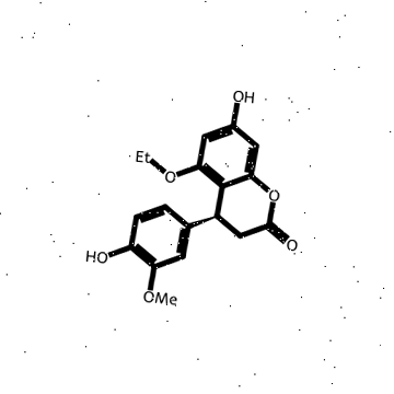 CCOc1cc(O)cc2c1[C@H](c1ccc(O)c(OC)c1)CC(=O)O2